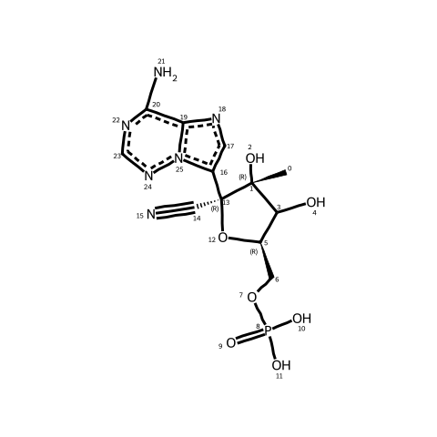 C[C@@]1(O)C(O)[C@@H](COP(=O)(O)O)O[C@@]1(C#N)c1cnc2c(N)ncnn12